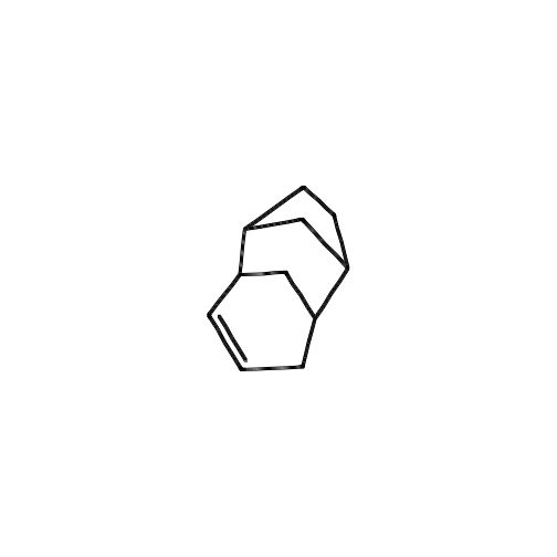 C1=CC2CC(C1)C1CCC2C1